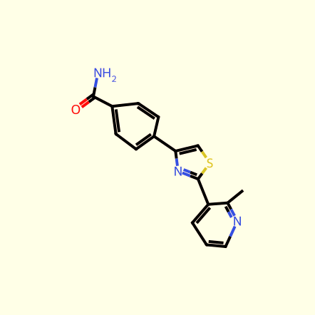 Cc1ncccc1-c1nc(-c2ccc(C(N)=O)cc2)cs1